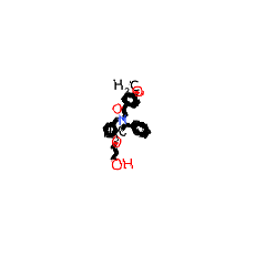 COc1ccc(C(=O)CN(Cc2cccc(OCCCO)c2)C(C)c2ccccc2)cc1